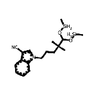 C[SiH2]OC(O[SiH2]C)C(C)(C)CCCn1cc(C#N)c2ccccc21